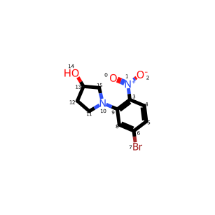 O=[N+]([O-])c1ccc(Br)cc1N1CCC(O)C1